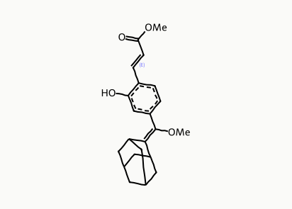 COC(=O)/C=C/c1ccc(C(OC)=C2C3CC4CC(C3)CC2C4)cc1O